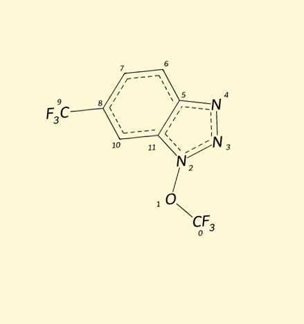 FC(F)(F)On1nnc2ccc(C(F)(F)F)cc21